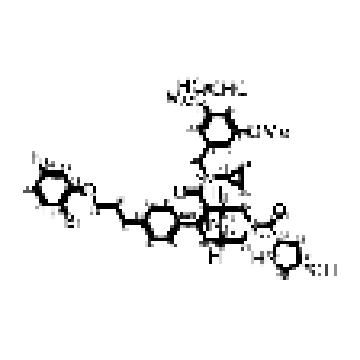 COc1cc(CN(C(=O)C2=C(c3ccc(CCCOc4cc(F)ccc4Br)cc3)C[C@H]3CN(C(=O)[C@@H]4C[C@@H](O)CN4)C[C@@H]2N3)C2CC2)cc(OC)c1.O=CO